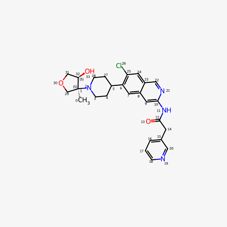 C[C@]1(N2CCC(c3cc4cc(NC(=O)Cc5cccnc5)ncc4cc3Cl)CC2)COC[C@H]1O